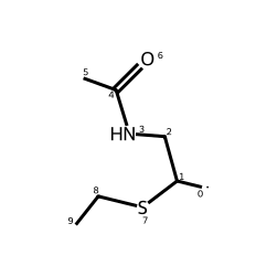 [CH2]C(CNC(C)=O)SCC